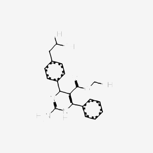 CCOC(=O)C1=C(c2ccccc2)NC(N)=NC1c1ccc(CC(C)C)cc1